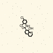 O=C(Nc1ccc(Cl)cc1Cl)c1ccc2cccnc2c1O